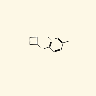 [O-][n+]1cc(F)ccc1OC1CCC1